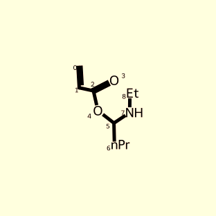 C=CC(=O)OC(CCC)NCC